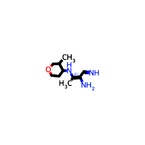 C/C(NC1CCOCC1C)=C(\N)C=N